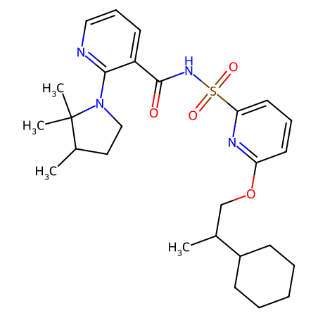 CC(COc1cccc(S(=O)(=O)NC(=O)c2cccnc2N2CCC(C)C2(C)C)n1)C1CCCCC1